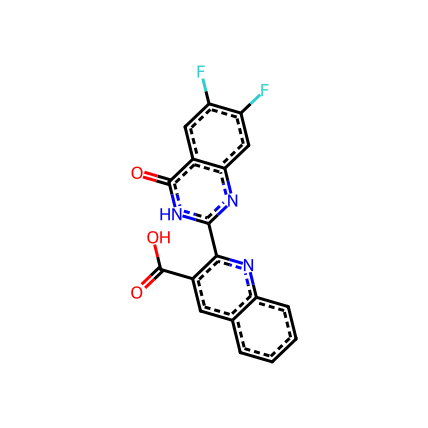 O=C(O)c1cc2ccccc2nc1-c1nc2cc(F)c(F)cc2c(=O)[nH]1